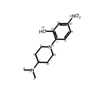 CN(C)C1CCN(c2ccc([N+](=O)[O-])cc2O)CC1